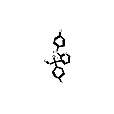 CC(N=O)(c1cccnc1Nc1ccc(Cl)cc1)C1C=CC(Cl)=CC1